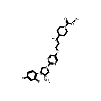 CC(C)OC(=O)N1CCC([C@H](C)CCOc2cnc(N3C[C@@H](N)[C@H](c4ccc(F)cc4F)C3)nc2)CC1